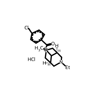 CCN1C[C@H]2CN(C)C[C@@H](C1)C2OC(=O)c1ccc(Cl)cc1.Cl